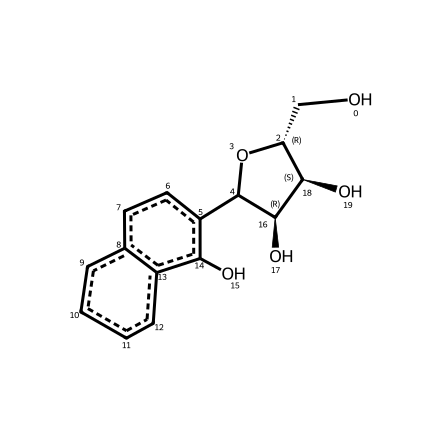 OC[C@H]1OC(c2ccc3ccccc3c2O)[C@H](O)[C@@H]1O